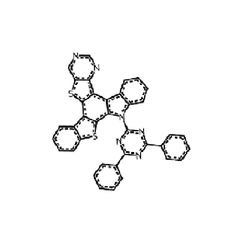 c1ccc(-c2nc(-c3ccccc3)nc(-n3c4ccccc4c4c5c6ncncc6sc5c5c6ccccc6sc5c43)n2)cc1